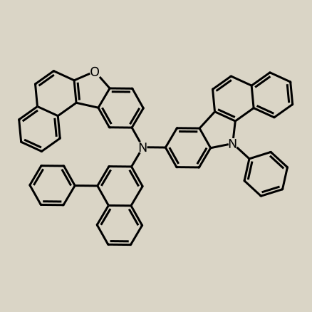 c1ccc(-c2cc(N(c3ccc4oc5ccc6ccccc6c5c4c3)c3ccc4c(c3)c3ccc5ccccc5c3n4-c3ccccc3)cc3ccccc23)cc1